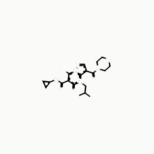 CC(C)Cn1c(=O)c(C(=O)NC2CC2)c(O)n2ncc(C(=O)N3CCOCC3)c12